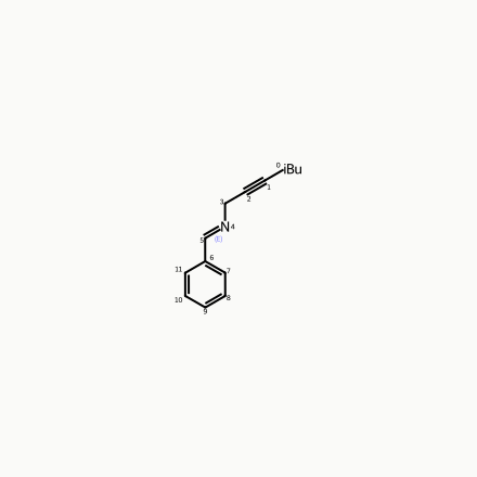 CCC(C)C#CC/N=C/c1ccccc1